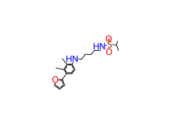 Cc1c(NCCCCCNS(=O)(=O)C(C)C)ccc(-c2ccco2)c1C